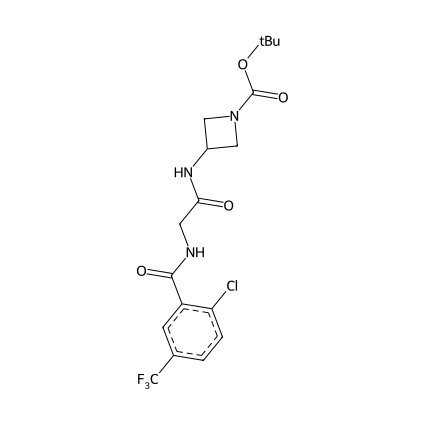 CC(C)(C)OC(=O)N1CC(NC(=O)CNC(=O)c2cc(C(F)(F)F)ccc2Cl)C1